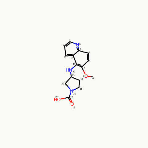 COc1ccc2ncccc2c1NC1CCN(C(=O)O)C1